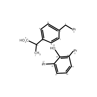 CC(C)Cc1ccc(C(C)C(=O)O)cc1.CC(C)c1cccc(C(C)C)c1O